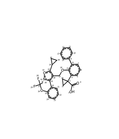 O=C(O)C1(c2cccc(-c3ccccc3)c2OCc2c(-c3ccccc3OC(F)(F)F)noc2C2CC2)CC1